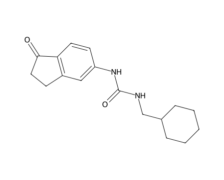 O=C(NCC1CCCCC1)Nc1ccc2c(c1)CCC2=O